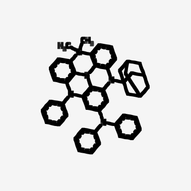 C[Si]1(C)c2cccc3c2B2c4c(cc(N(c5ccccc5)c5ccccc5)cc4N(C45CC6CC(CC(C6)C4)C5)c4cccc1c42)N3c1ccccc1